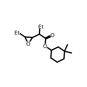 CCC1OC1C(CC)C(=O)OC1CCCC(C)(C)C1